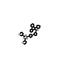 c1cncc(-c2nc(-c3ccc(-c4cccc(-c5nc6ccccc6c6c7ccccc7c7ccccc7c56)c4)cc3)nc(-c3cccnc3)n2)c1